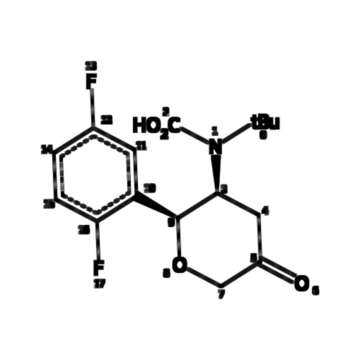 CC(C)(C)N(C(=O)O)[C@H]1CC(=O)CO[C@H]1c1cc(F)ccc1F